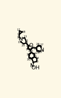 O/N=C1\CCc2cc(-c3cc(C4CCN(CC5CC5)CC4)oc3-c3ccncc3)ccc21